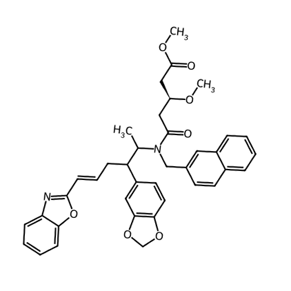 COC(=O)C[C@H](CC(=O)N(Cc1ccc2ccccc2c1)C(C)C(C/C=C/c1nc2ccccc2o1)c1ccc2c(c1)OCO2)OC